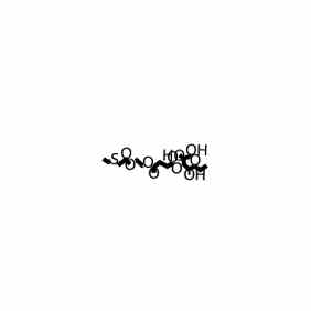 CCSCC(=O)OCCOC(=O)CCC(=O)O[C@@H]1C(O)[C@@H](O)OC(CC)[C@H]1O